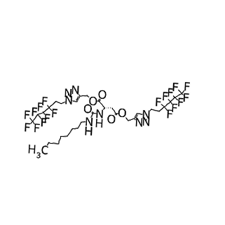 CCCCCCCCNC(=O)N[C@@H](CC(=O)OCc1cn(CCC(F)(F)C(F)(F)C(F)(F)C(F)(F)F)nn1)C(=O)OCc1cn(CCC(F)(F)C(F)(F)C(F)(F)C(F)(F)F)nn1